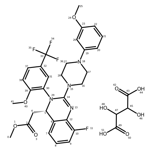 COC(=O)C[C@H]1c2cccc(F)c2N=C(N2CCN(c3cccc(OC)c3)CC2)N1c1cc(C(F)(F)F)ccc1OC.O=C(O)C(O)C(O)C(=O)O